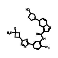 Cc1ccc(-c2nnn(C3CC(C)(F)C3)n2)cc1NC(=O)c1cnn2ccc(N3CC[C@@H](O)C3)cc12